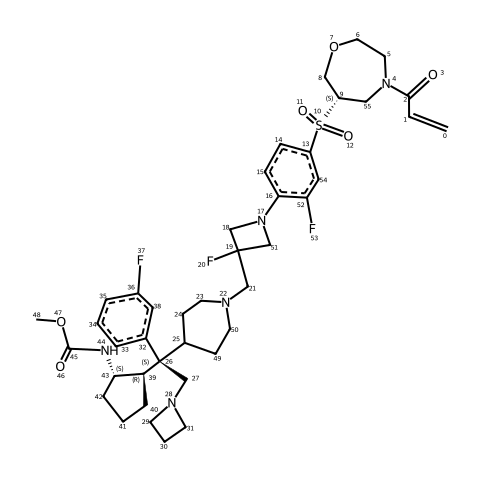 C=CC(=O)N1CCOC[C@@H](S(=O)(=O)c2ccc(N3CC(F)(CN4CCC([C@@](CN5CCC5)(c5cccc(F)c5)[C@H]5CCC[C@@H]5NC(=O)OC)CC4)C3)c(F)c2)C1